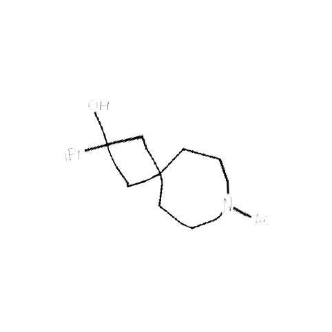 CC(=O)N1CCC2(CC1)CC(O)(C(C)C)C2